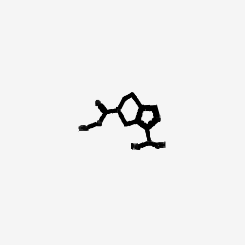 CC(C)(C)OC(=O)N1CCc2csc(B(O)O)c2C1